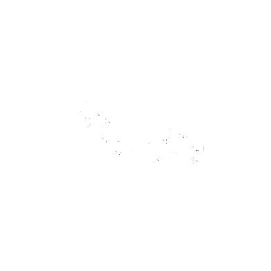 CC(C)(C)c1cc(NC(=O)Nc2ccc(Oc3ncnc4[nH]ncc34)cc2)no1